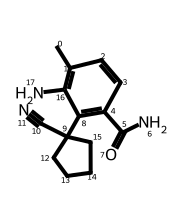 Cc1ccc(C(N)=O)c(C2(C#N)CCCC2)c1N